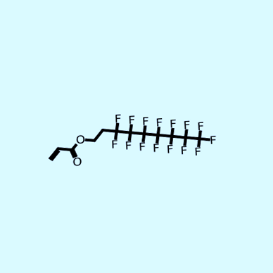 C=CC(=O)OCCC(F)(F)C(F)(F)C(F)(F)C(F)(F)C(F)(F)C(F)(F)C(F)(F)F